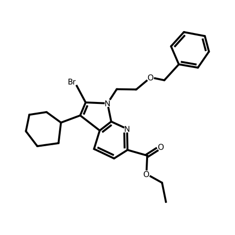 CCOC(=O)c1ccc2c(C3CCCCC3)c(Br)n(CCOCc3ccccc3)c2n1